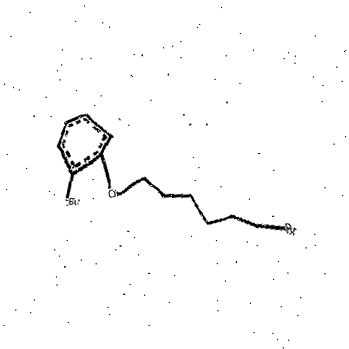 CC(C)(C)c1ccccc1OCCCCCCBr